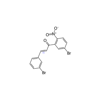 O=C(/C=C/c1cccc(Br)c1)c1cc(Br)ccc1[N+](=O)[O-]